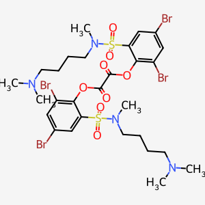 CN(C)CCCCN(C)S(=O)(=O)c1cc(Br)cc(Br)c1OC(=O)C(=O)Oc1c(Br)cc(Br)cc1S(=O)(=O)N(C)CCCCN(C)C